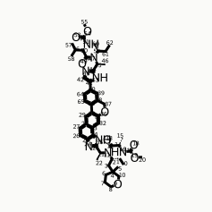 CC[C@H](CC1(C)CCCOC1)N(C(=O)[C@H](C)NC(=O)OC)[C@@H](C)c1nc2ccc3cc4c(cc3c2[nH]1)OCc1cc(-c2cnc([C@H](C)N(C(=O)[C@@H](NC(=O)OC)C(C)C)[C@@H](C)CC)[nH]2)ccc1-4